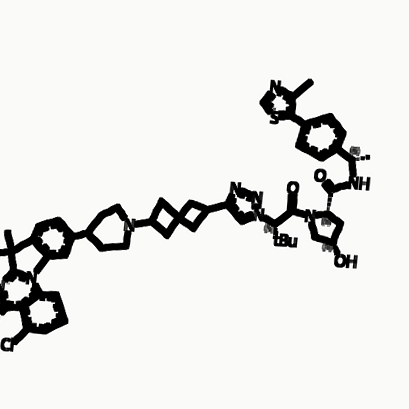 Cc1ncsc1-c1ccc([C@H](C)NC(=O)[C@@H]2C[C@@H](O)CN2C(=O)[C@@H](n2cc(C3CC4(C3)CC(N3CCC(c5ccc6c(c5)-n5c(nc(=O)c7c(Cl)cccc75)C6(C)C)CC3)C4)nn2)C(C)(C)C)cc1